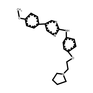 COc1ccc(-c2cnc(Nc3ccc(OCCN4CCCC4)cc3)nc2)cc1